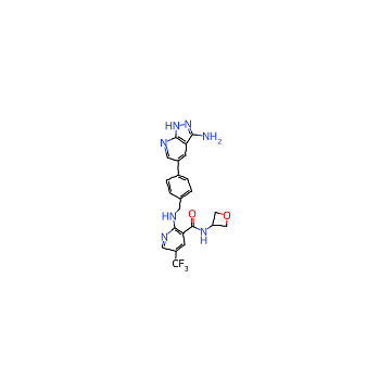 Nc1n[nH]c2ncc(-c3ccc(CNc4ncc(C(F)(F)F)cc4C(=O)NC4COC4)cc3)cc12